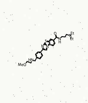 CCN(CC)CCCNC(=O)c1ccc2c(c1)sc1nc(-c3ccc(CNCCOC)cc3)cn12